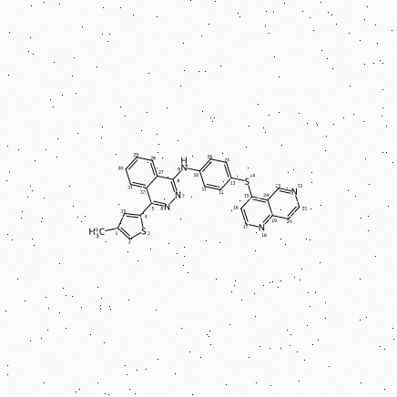 Cc1csc(-c2nnc(Nc3ccc(Sc4ccnc5ccncc45)cc3)c3ccccc23)c1